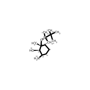 CC(C)(C)[Si](C)(C)O[C@]1(C)CCCC(N)[C@H]1O